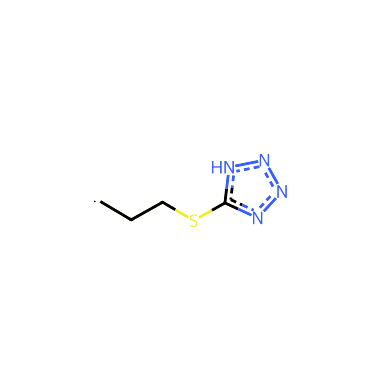 [CH2]CCSc1nnn[nH]1